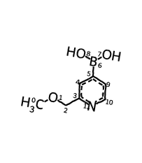 COCc1cc(B(O)O)ccn1